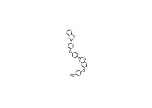 Oc1ccc(Oc2ccc3c(c2)CN(c2ccc(Oc4ccc(N5COc6ccccc6C5)cc4)cc2)CO3)cc1